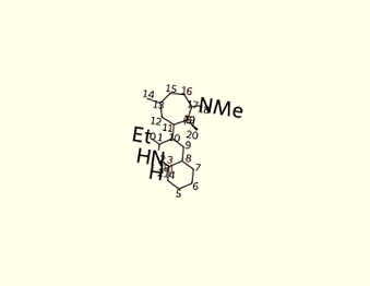 CCC1N[C@@H]2CCCCC2CC1C1CC(C)CCC(NC)[C@H]1C